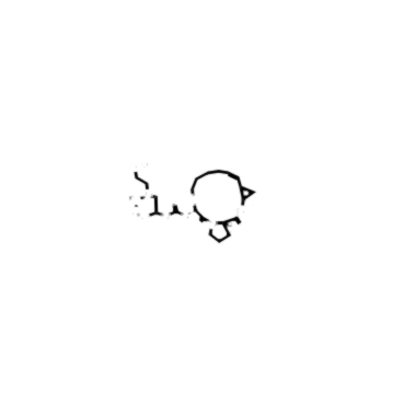 CNCCN(CC(NC(=O)N[C@H]1CCCCC/C=C\C2C[C@@]2(C(=O)O)NC(=O)[C@@H]2CCCN2C1=O)C(C)(C)C)[SH](=O)=O